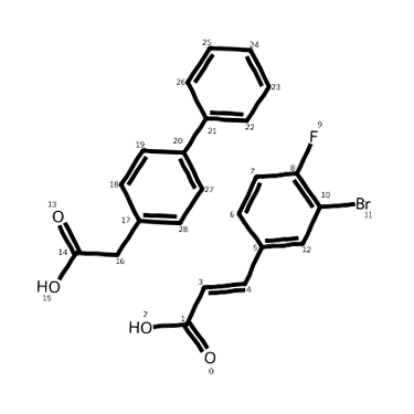 O=C(O)C=Cc1ccc(F)c(Br)c1.O=C(O)Cc1ccc(-c2ccccc2)cc1